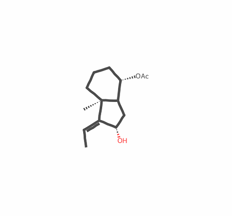 C/C=C1\[C@@H](O)CC2[C@@H](OC(C)=O)CCC[C@]12C